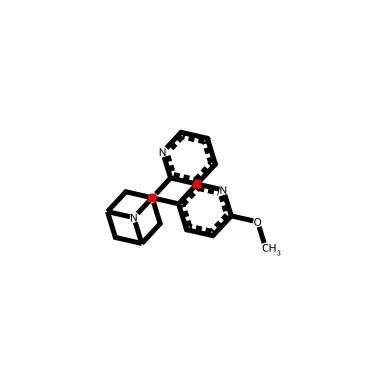 COc1ccc(CN2C3CC2CN(c2cc[c]cn2)C3)cn1